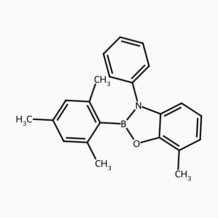 Cc1cc(C)c(B2Oc3c(C)cccc3N2c2ccccc2)c(C)c1